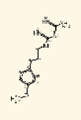 COc1ccc(CCCNC(=N)NC(=N)N)cc1